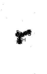 CC(C)(c1nc2nccnc2[nH]1)C1c2ccc(-c3ccc(N4CCCC4=O)cc3)nc2Oc2c(F)cccc21